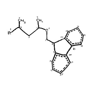 CC(CC(C)C(C)C)OCC1c2ccccc2-c2ccccc21